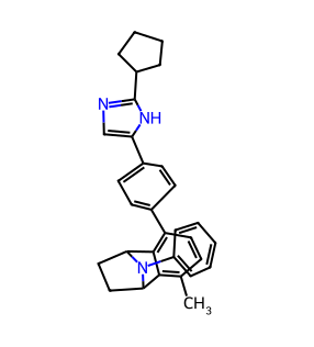 Cc1ccc(-c2ccc(-c3cnc(C4CCCC4)[nH]3)cc2)c2c1C1CCC2N1c1ccccc1